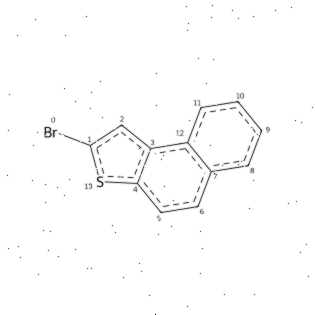 Brc1cc2c(ccc3ccccc32)s1